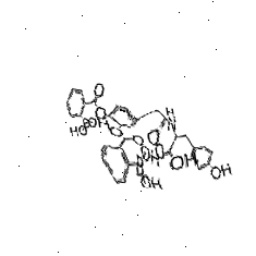 O=C(Cc1ccc(OC(=O)c2ccccc2B(O)O)c(OC(=O)c2ccccc2B(O)O)c1)N[C@@H](Cc1ccc(O)cc1)C(=O)O